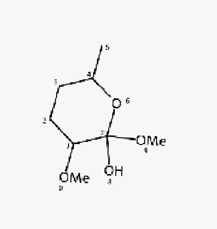 COC1CCC(C)OC1(O)OC